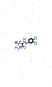 CC(NCc1ccc(Cl)c(Cl)c1)C(N)=O